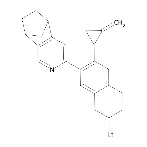 C=C1CC1c1cc2c(cc1-c1cc3c(cn1)C1CCC3C1)CC(CC)CC2